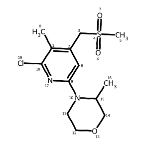 Cc1c(CS(C)(=O)=O)cc(N2CCOCC2C)nc1Cl